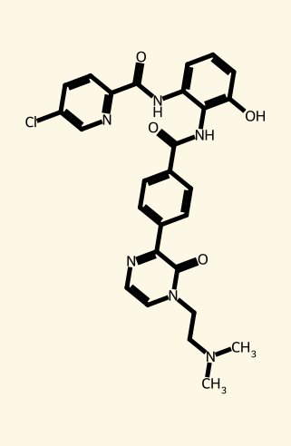 CN(C)CCn1ccnc(-c2ccc(C(=O)Nc3c(O)cccc3NC(=O)c3ccc(Cl)cn3)cc2)c1=O